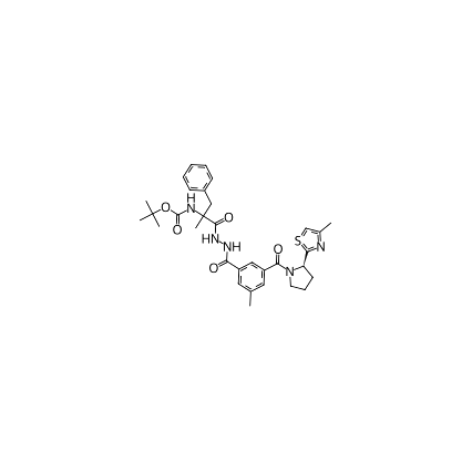 Cc1cc(C(=O)NNC(=O)C(C)(Cc2ccccc2)NC(=O)OC(C)(C)C)cc(C(=O)N2CCC[C@@H]2c2nc(C)cs2)c1